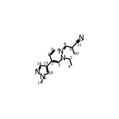 C=C/C(=C\N(CC)/N=C\C(C)C#N)c1cnn(C)c1